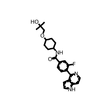 CC(C)(O)COC1CCC(NC(=O)c2ccc(-c3nccc4[nH]ccc34)c(F)c2)CC1